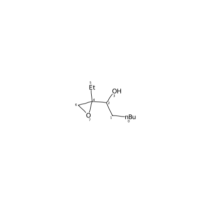 CCCCCC(O)C1(CC)CO1